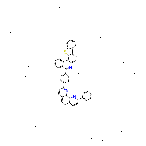 c1ccc(-c2ccc3ccc4ccc(-c5ccc(-c6nc7ccc8c9ccccc9sc8c7c7ccccc67)cc5)nc4c3n2)cc1